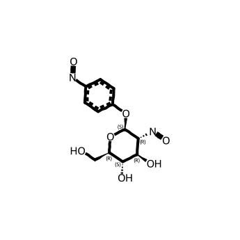 O=Nc1ccc(O[C@@H]2O[C@H](CO)[C@@H](O)[C@H](O)[C@H]2N=O)cc1